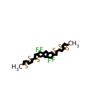 Cc1cc2sc(-c3cc4c(s3)-c3cc5c(cc3C4(F)F)-c3sc(-c4cc6sc(C)cc6s4)cc3C5(F)F)cc2s1